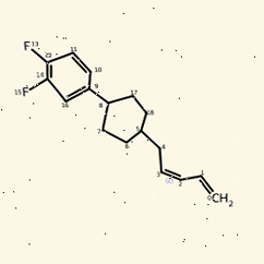 C=C/C=C\CC1CCC(c2ccc(F)c(F)c2)CC1